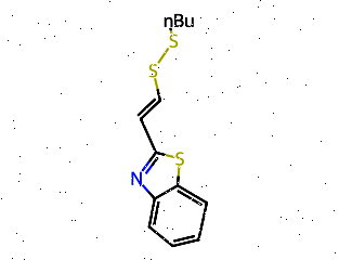 CCCCSSC=Cc1nc2ccccc2s1